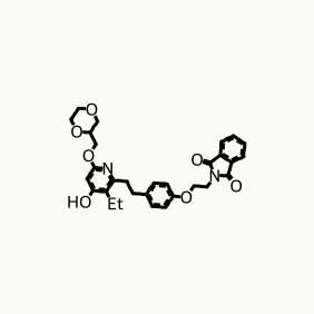 CCc1c(O)cc(OCC2COCCO2)nc1CCc1ccc(OCCN2C(=O)c3ccccc3C2=O)cc1